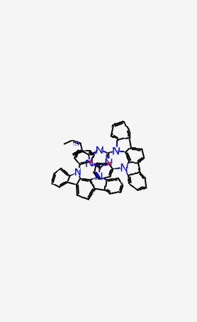 C=C(/C=C\C)c1nc(-n2c3ccccc3c3ccc4c5ccccc5n(-c5ccccc5)c4c32)nc(-n2c3ccccc3c3ccc4c5ccccc5n(-c5ccccc5)c4c32)n1